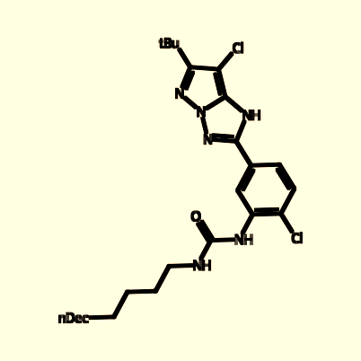 CCCCCCCCCCCCCCNC(=O)Nc1cc(-c2nn3nc(C(C)(C)C)c(Cl)c3[nH]2)ccc1Cl